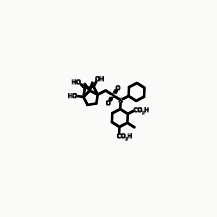 CC1C(C(=O)O)CCC(N(C2CCCCC2)S(=O)(=O)CC23CCC(O)(C(O)C2O)C3(C)C)C1C(=O)O